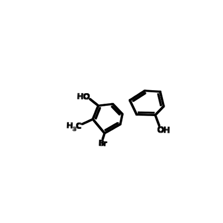 Cc1c(O)cccc1Br.Oc1ccccc1